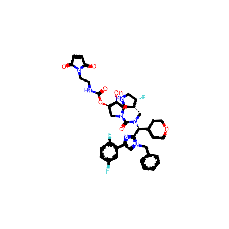 O=C(NCCN1C(=O)C=CC1=O)O[C@@H]1CN(C(=O)N(C[C@@H]2CNC[C@@H]2F)[C@@H](c2nc(-c3cc(F)ccc3F)cn2Cc2ccccc2)C2CCOCC2)C[C@@H]1O